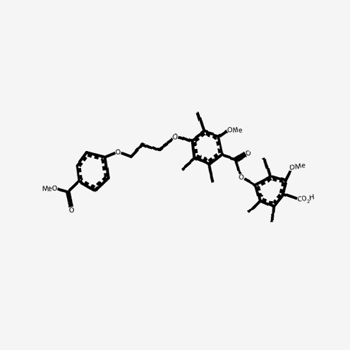 COC(=O)c1ccc(OCCCOc2c(C)c(C)c(C(=O)Oc3c(C)c(C)c(C(=O)O)c(OC)c3C)c(OC)c2C)cc1